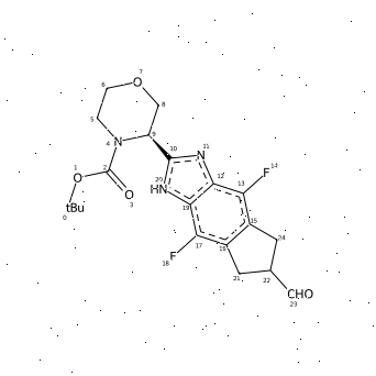 CC(C)(C)OC(=O)N1CCOC[C@H]1c1nc2c(F)c3c(c(F)c2[nH]1)CC(C=O)C3